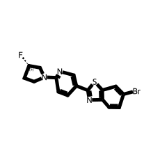 F[C@H]1CCN(c2ccc(-c3nc4ccc(Br)cc4s3)cn2)C1